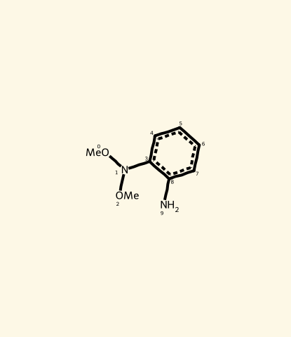 CON(OC)c1ccccc1N